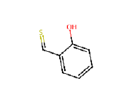 Oc1ccccc1C=S